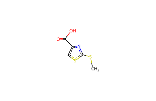 CSc1nc(C(=O)O)cs1